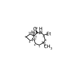 CCC1C[C@H](C)CCN2CCC[C@H]2C(=O)N1